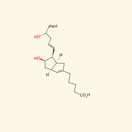 CCCC(C)C(O)C/C=C/[C@H]1[C@H]2CC(CCCCC(=O)O)=C[C@H]2C[C@H]1O